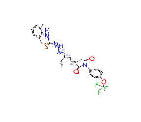 C=CC(/C=N/NC(=S)Nc1c(C)cccc1C)=C\C=C1/CC(=O)N(c2ccc(OC(F)(F)F)cc2)C1=O